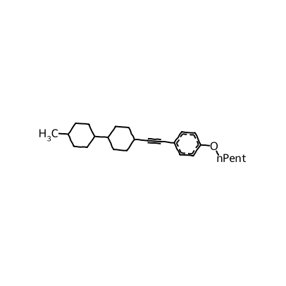 CCCCCOc1ccc(C#CC2CCC(C3CCC(C)CC3)CC2)cc1